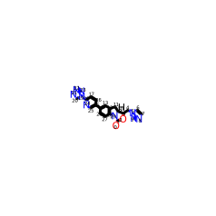 O=C1OC(Cn2ccnn2)[C@@H]2Cc3cc(-c4ccc(-n5cnnn5)nc4)ccc3N12